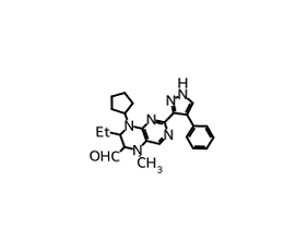 CCC1C(C=O)N(C)c2cnc(-c3n[nH]cc3-c3ccccc3)nc2N1C1CCCC1